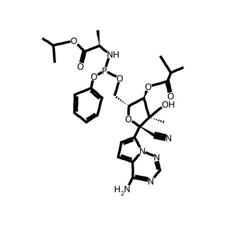 CC(C)OC(=O)[C@@H](C)NP(OC[C@H]1O[C@@](C#N)(c2ccc3c(N)ncnn23)[C@](C)(O)[C@@H]1OC(=O)C(C)C)Oc1ccccc1